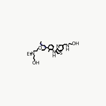 C=C/C(=C\C(=C/C)OCCCN(CC)CCCO)C1CC=CC(NC2=CSC3=CC2N=CC(CNCCO)=C3)=C1C